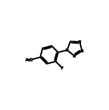 CC(=O)Oc1ccc(-n2cnnn2)c(F)c1